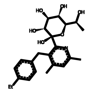 CCc1ccc(Cc2c(C)cc(C)nc2[C@@]2(O)O[C@H]([C@H](C)O)[C@@H](O)[C@H](O)[C@H]2O)cc1